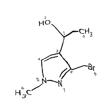 CC(O)c1cn(C)nc1Br